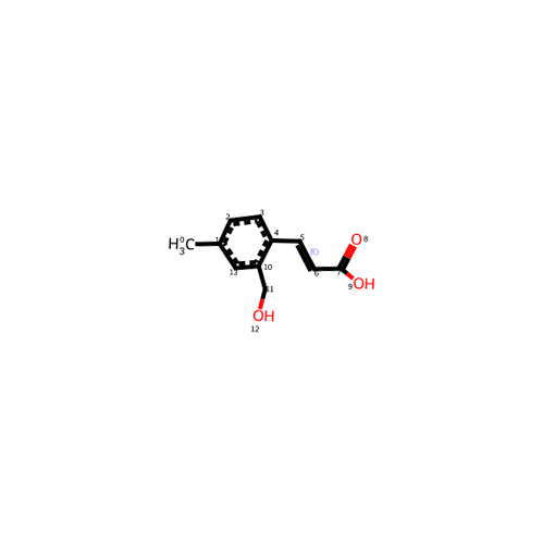 Cc1ccc(/C=C/C(=O)O)c(CO)c1